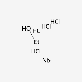 CCO.Cl.Cl.Cl.Cl.[Nb]